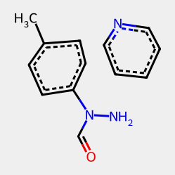 Cc1ccc(N(N)C=O)cc1.c1ccncc1